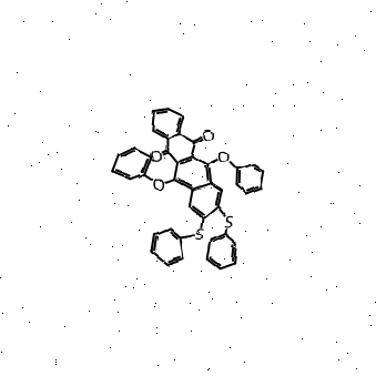 O=C1c2ccccc2C(=O)c2c1c(Oc1ccccc1)c1cc(Sc3ccccc3)c(Sc3ccccc3)cc1c2Oc1ccccc1